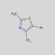 CC(=O)c1sc(C)nc1C(F)(F)F